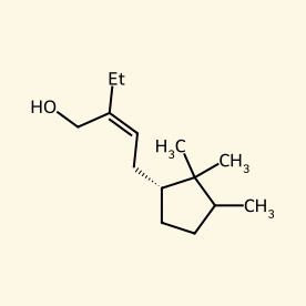 CCC(=CC[C@H]1CCC(C)C1(C)C)CO